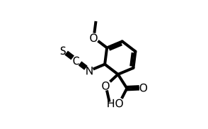 COC1=CC=CC(OC)(C(=O)O)C1N=C=S